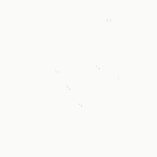 Nc1nc(-n2cc(C(=O)O)c(=O)c3cc(F)c(N4CC(=C(F)CO)C4)c(Cl)c32)c(F)cc1F